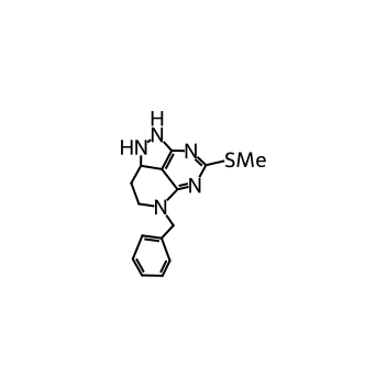 CSc1nc2c3c(n1)N(Cc1ccccc1)CCC3NN2